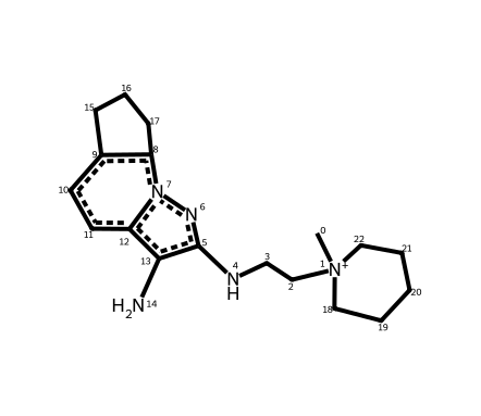 C[N+]1(CCNc2nn3c4c(ccc3c2N)CCC4)CCCCC1